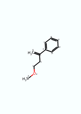 C=C(CCO[SiH3])c1ccccc1